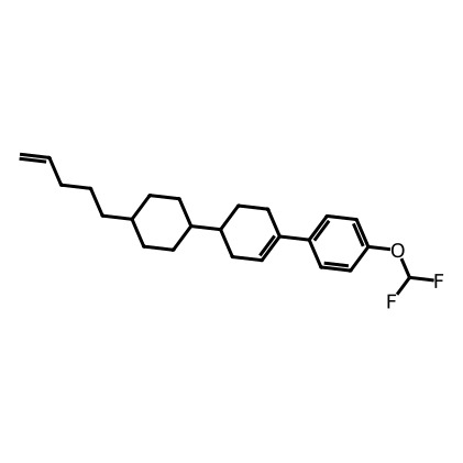 C=CCCCC1CCC(C2CC=C(c3ccc(OC(F)F)cc3)CC2)CC1